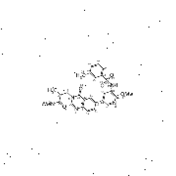 CNC(=O)C(C)Cn1cnc2ccc(-c3cnc(OC)c(NS(=O)(=O)c4cccc(C)c4)c3)cc2c1=O